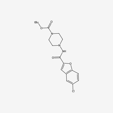 CC(C)(C)OC(=O)N1CCN(NC(=O)c2cc3cc(Cl)ccc3o2)CC1